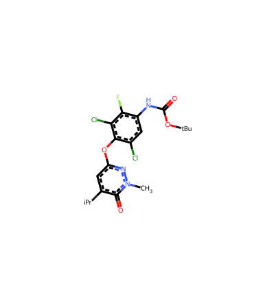 CC(C)c1cc(Oc2c(Cl)cc(NC(=O)OC(C)(C)C)c(F)c2Cl)nn(C)c1=O